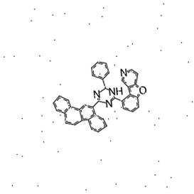 c1ccc(C2N=C(c3cc4c5ccccc5ccc4c4ccccc34)N=C(c3cccc4oc5ccncc5c34)N2)cc1